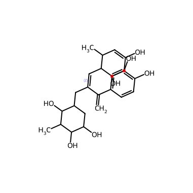 C=C(/C(=C\C1C(O)=CC(O)=CC1C)CC1CC(O)C(O)C(C)C1O)c1ccc(O)c(O)c1